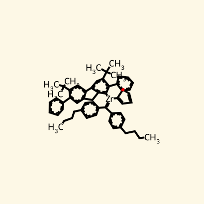 CCCCc1ccc([C](c2ccc(CCCC)cc2)=[Zr]([C]2=CC=CC2)[c]2c3c(cc(C(C)(C)C)c2-c2ccccc2)-c2cc(C(C)(C)C)c(-c4ccccc4)cc2C3)cc1